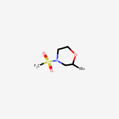 CC(C)(C)C1CN(S(=O)(=O)C(F)(F)F)CCO1